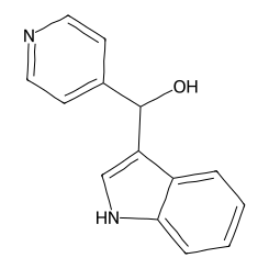 OC(c1ccncc1)c1c[nH]c2ccccc12